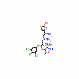 CO[C@@H](CN(N)/C=C(\N)c1csc(O)n1)C(OC1CNOC1C)Sc1cc(Cl)c(F)c(Cl)c1